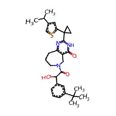 CC(C)c1csc(C2(c3nc4c(c(=O)[nH]3)CN(C(=O)C(O)c3cccc(C(C)(C)C)c3)CCC4)CC2)c1